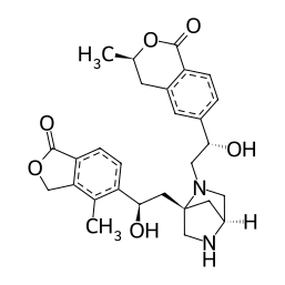 Cc1c([C@H](O)C[C@@]23CN[C@H](CN2C[C@@H](O)c2ccc4c(c2)C[C@@H](C)OC4=O)C3)ccc2c1COC2=O